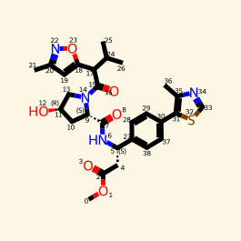 COC(=O)C[C@H](NC(=O)[C@@H]1C[C@@H](O)CN1C(=O)C(c1cc(C)no1)C(C)C)c1ccc(-c2scnc2C)cc1